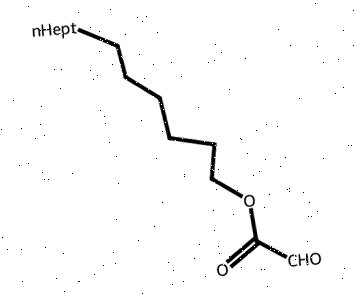 CCCCCCCCCCCCCOC(=O)C=O